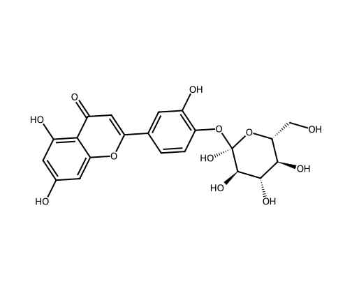 O=c1cc(-c2ccc(O[C@@]3(O)O[C@H](CO)[C@@H](O)[C@H](O)[C@H]3O)c(O)c2)oc2cc(O)cc(O)c12